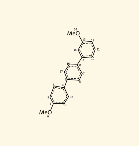 COc1ccc(-c2ccc(-c3cccc(OC)c3)cc2)cc1